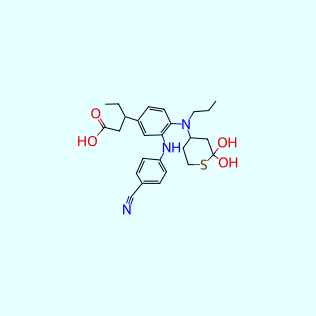 CCCN(c1ccc(C(CC)CC(=O)O)cc1Nc1ccc(C#N)cc1)C1CCSC(O)(O)C1